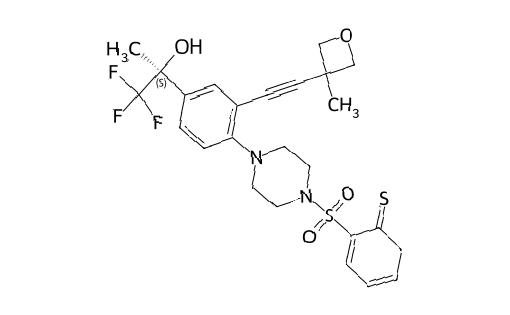 CC1(C#Cc2cc([C@](C)(O)C(F)(F)F)ccc2N2CCN(S(=O)(=O)C3=CC=CCC3=S)CC2)COC1